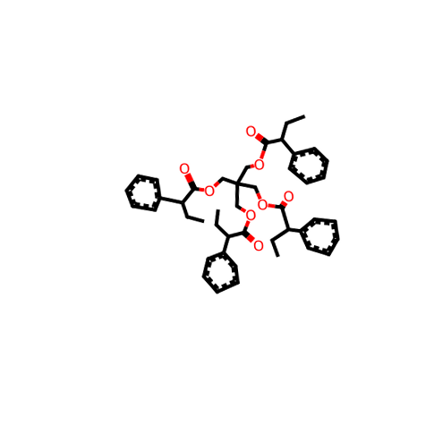 CCC(C(=O)OCC(COC(=O)C(CC)c1ccccc1)(COC(=O)C(CC)c1ccccc1)COC(=O)C(CC)c1ccccc1)c1ccccc1